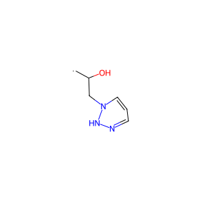 [CH2]C(O)CN1C=CC=NN1